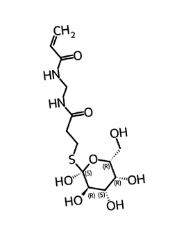 C=CC(=O)NCNC(=O)CCS[C@@]1(O)O[C@H](CO)[C@H](O)[C@H](O)[C@H]1O